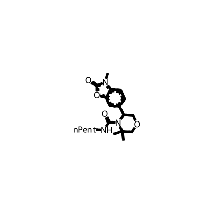 CCCCCNC(=O)N1C(c2ccc3c(c2)oc(=O)n3C)COCC1(C)C